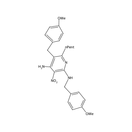 CCCCCc1nc(NCc2ccc(OC)cc2)c([N+](=O)[O-])c(N)c1Cc1ccc(OC)cc1